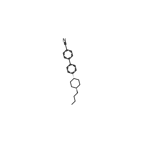 CCCC[C@H]1CC[C@H](c2ccc(-c3ccc(C#N)cc3)cc2)CC1